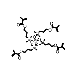 C=C(C)C(=O)OCCC[Si](C)(C)O[Si](O[Si](C)(C)CCCOC(=O)C(=C)C)(O[Si](C)(C)CCCOC(=O)C(=C)C)O[Si](C)(C)CCCOC(=O)C(=C)C